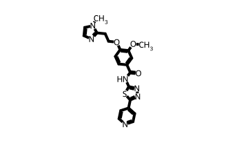 COc1cc(C(=O)Nc2nnc(-c3ccncc3)s2)ccc1OCCc1nccn1C